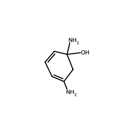 NC1=CC=CC(N)(O)C1